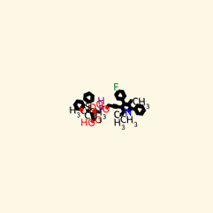 CCc1c(-c2ccccc2)nc(C(C)C)c(C#CCO[PH](=O)CC(CC(=O)O)O[Si](c2ccccc2)(c2ccccc2)C(C)(C)C)c1-c1ccc(F)cc1